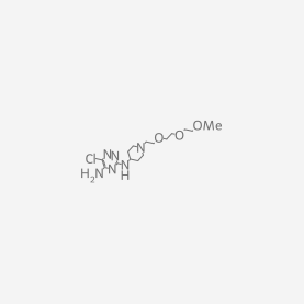 COCCOCCOCCN1CCC(Nc2nnc(Cl)c(N)n2)CC1